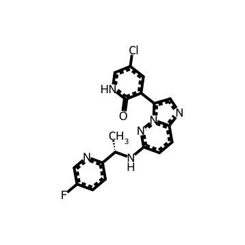 C[C@H](Nc1ccc2ncc(-c3cc(Cl)c[nH]c3=O)n2n1)c1ccc(F)cn1